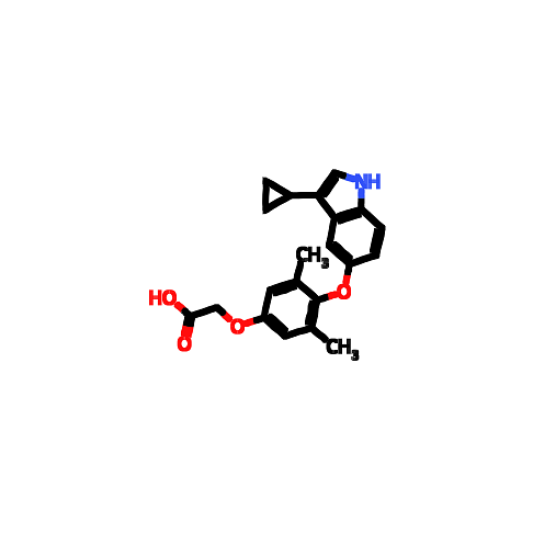 Cc1cc(OCC(=O)O)cc(C)c1Oc1ccc2[nH]cc(C3CC3)c2c1